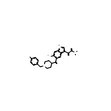 COc1cc2c(cc1C(=O)C1CCN(Cc3ccc(F)cc3)CC1)c(C(=O)C(=O)N(C)C)cn2C